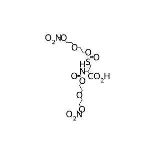 O=C(NC(CSC(=O)OCCOCCO[N+](=O)[O-])C(=O)O)OCCOCCO[N+](=O)[O-]